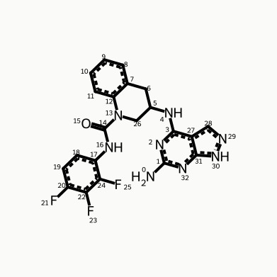 Nc1nc(NC2Cc3ccccc3N(C(=O)Nc3ccc(F)c(F)c3F)C2)c2cn[nH]c2n1